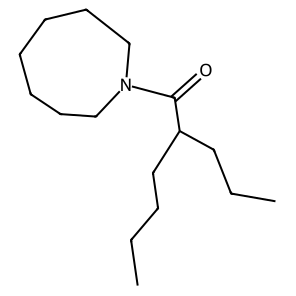 CCCCC(CCC)C(=O)N1CCCCCCC1